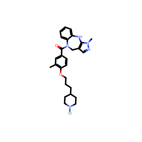 Cc1cc(C(=O)N2Cc3cnn(C)c3Nc3ccccc32)ccc1OCCCC1CCN(Cl)CC1